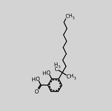 CCCCCCCCCC(C)(C)c1cccc(C(=O)O)c1O